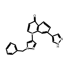 O=c1ccn(-c2cnn(Cc3ccccc3)c2)c2cc(-c3cn[nH]c3)ccc12